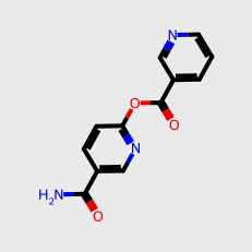 NC(=O)c1ccc(OC(=O)c2cccnc2)nc1